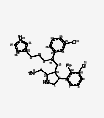 CC(C)(C)CC1NCC(c2cccc(Cl)c2F)C1CN(CCCc1c[nH]cn1)c1cccc(Cl)c1